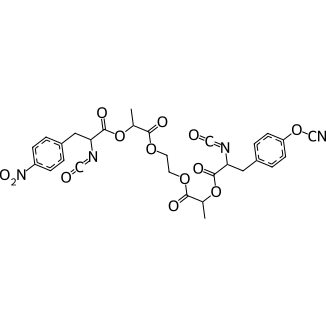 CC(OC(=O)C(Cc1ccc(OC#N)cc1)N=C=O)C(=O)OCCOC(=O)C(C)OC(=O)C(Cc1ccc([N+](=O)[O-])cc1)N=C=O